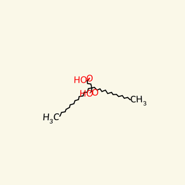 CCCCCCCCCCCCCCCC(CCCCCCCCCCCCCCC)(CCC(=O)O)C(=O)O